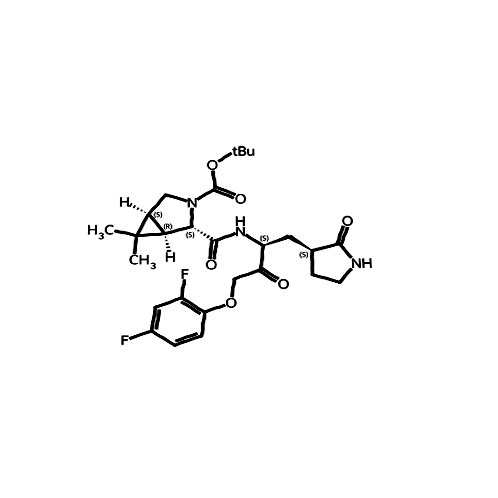 CC(C)(C)OC(=O)N1C[C@H]2[C@@H]([C@H]1C(=O)N[C@@H](C[C@@H]1CCNC1=O)C(=O)COc1ccc(F)cc1F)C2(C)C